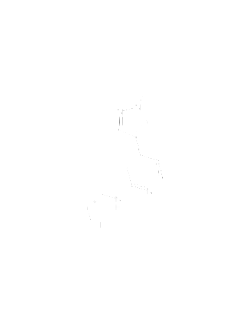 C/C=C\Nc1cc(-c2cnn(C)c2)ccn1